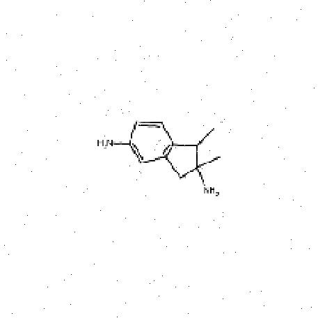 CC1c2ccc(N)cc2CC1(C)N